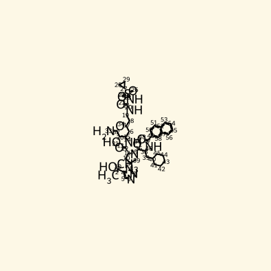 CC(C)(O)c1cnnn1[C@H]1C[C@@H](C(=O)NC(CCCCNC(=O)NS(=O)(=O)C2CC2)C(O)C(N)=O)N(C(=O)C(CC2CCCCC2)NC(=O)c2ccc3ccccc3c2)C1